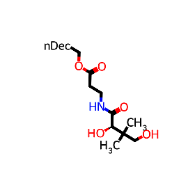 CCCCCCCCCCCOC(=O)CCNC(=O)[C@H](O)C(C)(C)CO